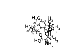 CC(C)[C@H](N)C(=O)O.Cc1cc(C(C)(C)C)c(O)c(C)c1CC1=NCCN1